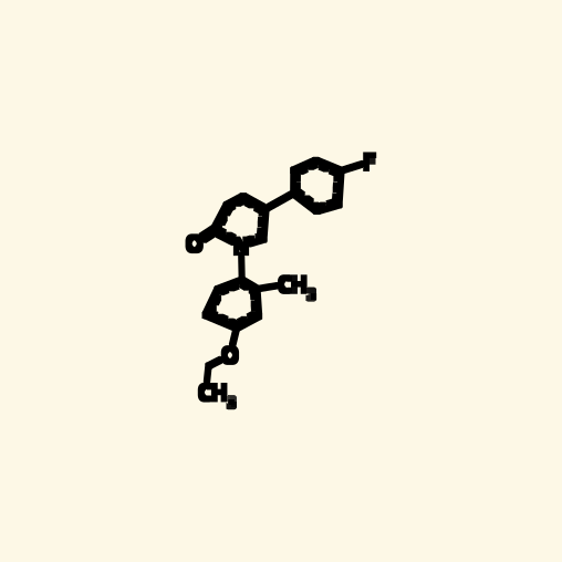 CCOc1ccc(-n2cc(-c3ccc(F)cc3)ccc2=O)c(C)c1